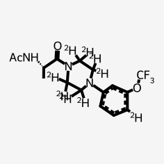 [2H]c1ccc(N2C([2H])([2H])C([2H])([2H])N(C(=O)[C@H](C)NC(C)=O)C([2H])([2H])C2([2H])[2H])cc1OC(F)(F)F